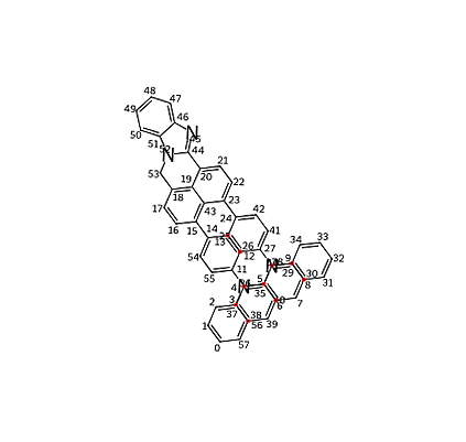 c1ccc(N(c2ccccc2)c2ccc(-c3ccc4c5c(ccc(-c6ccc(N(c7ccccc7)c7ccccc7)cc6)c35)-c3nc5ccccc5n3C4)cc2)cc1